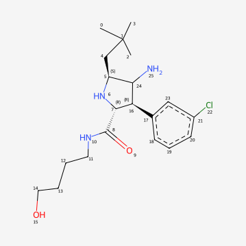 CC(C)(C)C[C@@H]1N[C@@H](C(=O)NCCCCO)[C@H](c2cccc(Cl)c2)C1N